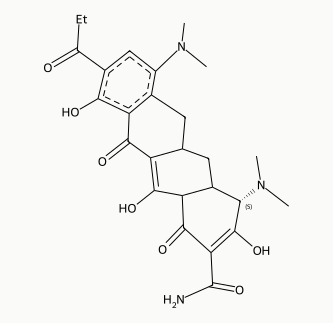 CCC(=O)c1cc(N(C)C)c2c(c1O)C(=O)C1=C(O)C3C(=O)C(C(N)=O)=C(O)[C@@H](N(C)C)C3CC1C2